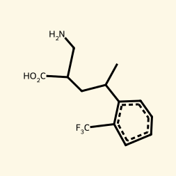 CC(CC(CN)C(=O)O)c1ccccc1C(F)(F)F